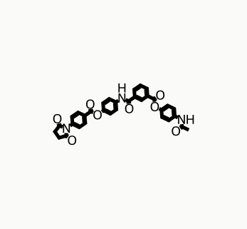 CC(=O)Nc1ccc(OC(=O)c2cccc(C(=O)Nc3ccc(OC(=O)c4ccc(N5C(=O)CCC5=O)cc4)cc3)c2)cc1